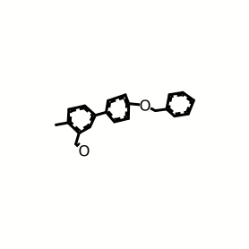 Cc1ccc(-c2ccc(OCc3ccccc3)cc2)cc1C=O